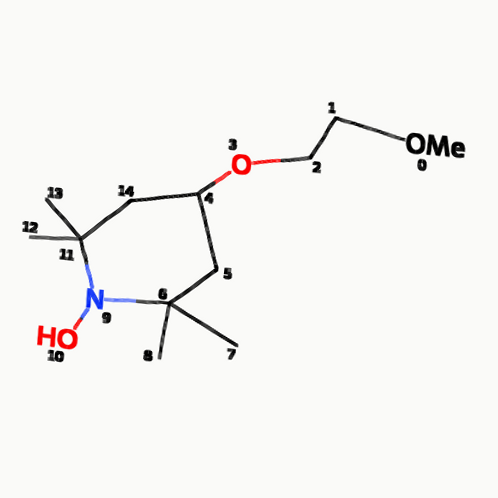 COCCOC1CC(C)(C)N(O)C(C)(C)C1